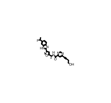 CC(F)c1ccc2nc(-c3cc([C@H](C)NC(=O)c4cc(C#CCCO)ncn4)on3)[nH]c2c1